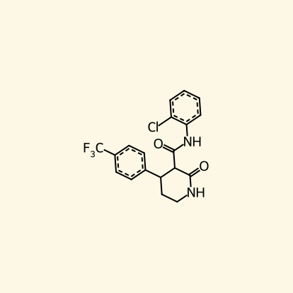 O=C1NCCC(c2ccc(C(F)(F)F)cc2)C1C(=O)Nc1ccccc1Cl